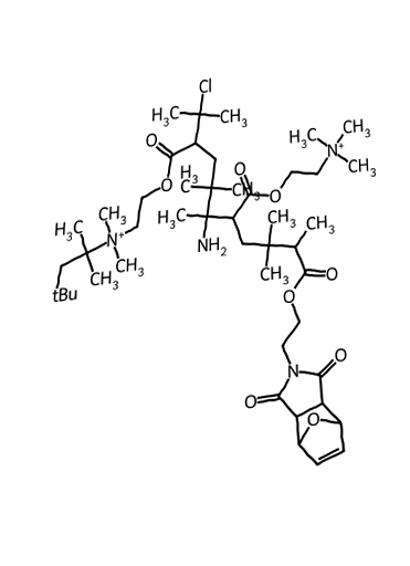 CC(C(=O)OCCN1C(=O)C2C3C=CC(O3)C2C1=O)C(C)(C)CC(C(=O)OCC[N+](C)(C)C)C(C)(N)C(C)(C)CC(C(=O)OCC[N+](C)(C)C(C)(C)CC(C)(C)C)C(C)(C)Cl